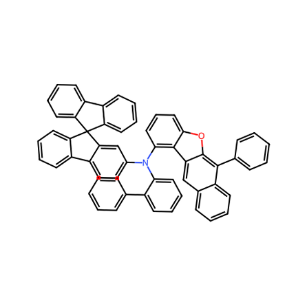 c1ccc(-c2ccccc2N(c2ccc3c(c2)C2(c4ccccc4-c4ccccc42)c2ccccc2-3)c2cccc3oc4c(-c5ccccc5)c5ccccc5cc4c23)cc1